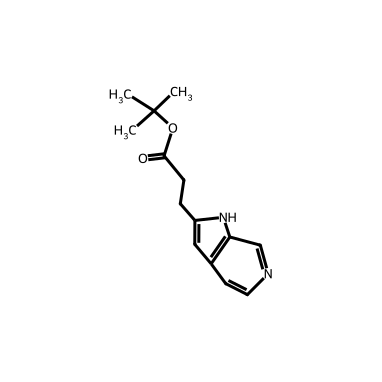 CC(C)(C)OC(=O)CCc1cc2ccncc2[nH]1